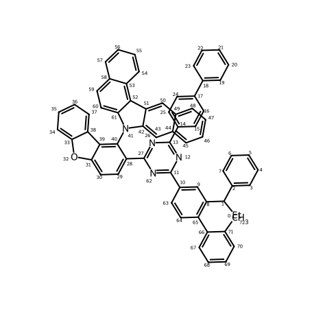 CCC(c1ccccc1)c1cc(-c2nc(-c3ccc(-c4ccccc4)cc3)nc(-c3ccc4oc5ccccc5c4c3-n3c4cc5ccccc5cc4c4c5ccccc5ccc43)n2)ccc1-c1ccccc1C